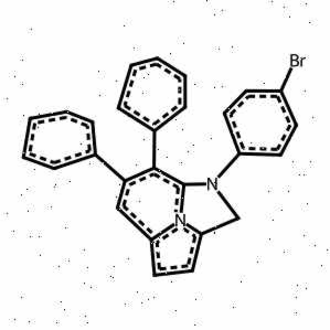 Brc1ccc(N2Cc3ccc4cc(-c5ccccc5)c(-c5ccccc5)c2n34)cc1